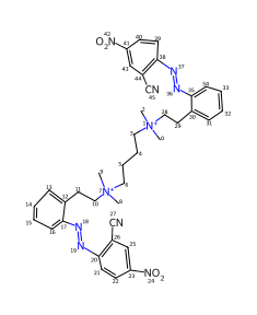 C[N+](C)(CCCC[N+](C)(C)CCc1ccccc1/N=N/c1ccc([N+](=O)[O-])cc1C#N)CCc1ccccc1/N=N/c1ccc([N+](=O)[O-])cc1C#N